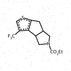 CCOC(=O)N1CC2Cc3scc(C(F)(F)F)c3C2C1